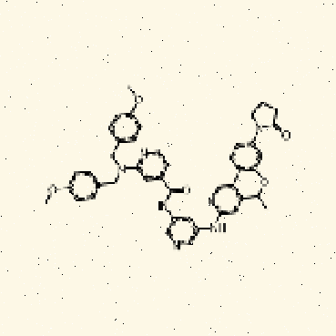 COc1ccc(CN(Cc2ccc(OC)cc2)c2cc(C(=O)Nc3cncc(Nc4cc5c(cn4)-c4ccc(N6CCCC6=O)cc4OC5C)c3)ccn2)cc1